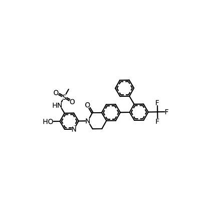 CS(=O)(=O)Nc1cc(N2CCc3cc(-c4ccc(C(F)(F)F)cc4-c4ccccc4)ccc3C2=O)ncc1O